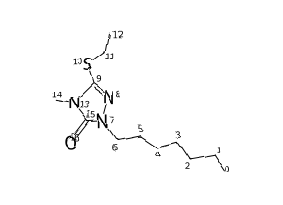 CCCCCCCn1nc(SCC)n(C)c1=O